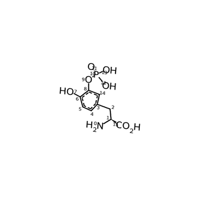 N[C@@H](Cc1ccc(O)c(OP(=O)(O)O)c1)C(=O)O